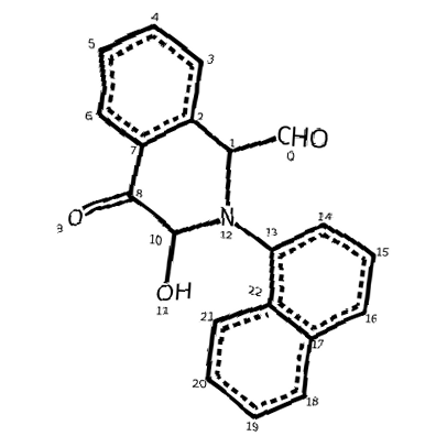 O=CC1c2ccccc2C(=O)C(O)N1c1cccc2ccccc12